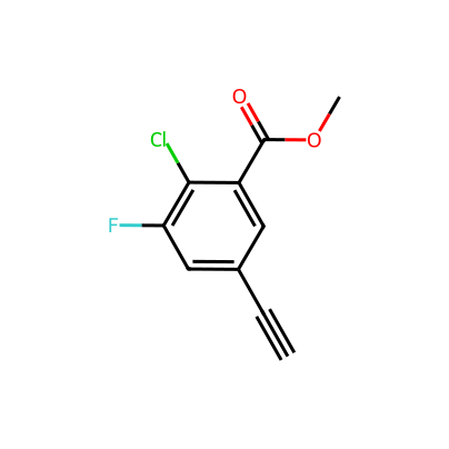 C#Cc1cc(F)c(Cl)c(C(=O)OC)c1